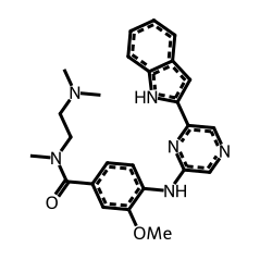 COc1cc(C(=O)N(C)CCN(C)C)ccc1Nc1cncc(-c2cc3ccccc3[nH]2)n1